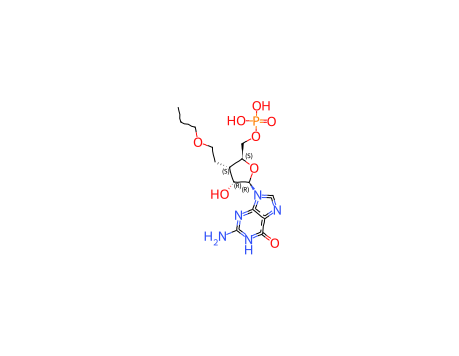 CCCOCC[C@H]1[C@@H](O)[C@H](n2cnc3c(=O)[nH]c(N)nc32)O[C@@H]1COP(=O)(O)O